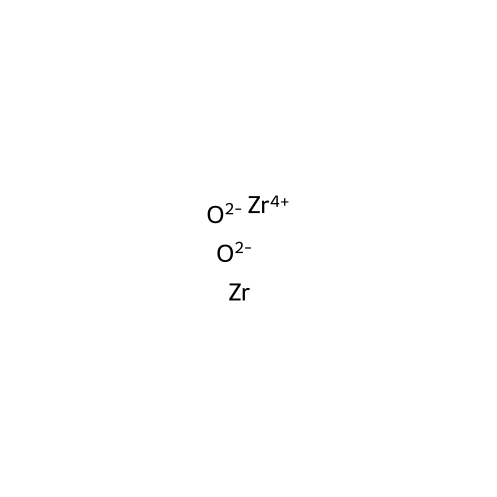 [O-2].[O-2].[Zr+4].[Zr]